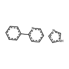 c1c[nH]cn1.c1ccc(-c2ccccn2)cc1